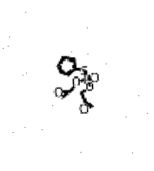 O=P(OCC1CO1)(OCC1CO1)Sc1ccccc1